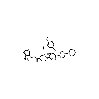 CCc1ccc(C[C@@H](NC(=O)N2CCC(NCCc3ccccc3N)CC2)C(=O)N2CCC(N3CCCCC3)CC2)cc1CC